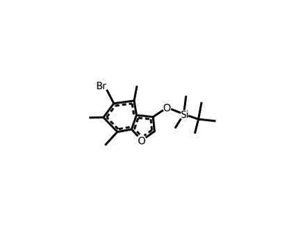 Cc1c(Br)c(C)c2c(O[Si](C)(C)C(C)(C)C)coc2c1C